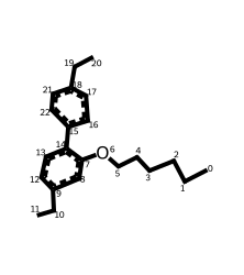 CCCCCCOc1cc(CC)ccc1-c1ccc(CC)cc1